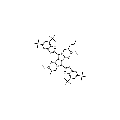 CCOC(C)CN1C(=O)C2=C(c3cc4cc(C(C)(C)C)cc(C(C)(C)C)c4o3)N(CC(OCC)OCC)C(=O)C2=C1c1cc2cc(C(C)(C)C)cc(C(C)(C)C)c2o1